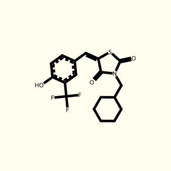 O=C1SC(=Cc2ccc(O)c(C(F)(F)F)c2)C(=O)N1CC1CCCCC1